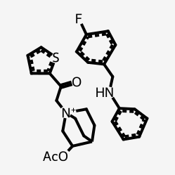 CC(=O)OC1C[N+]2(CC(=O)c3cccs3)CCC1CC2.Fc1ccc(CNc2ccccc2)cc1